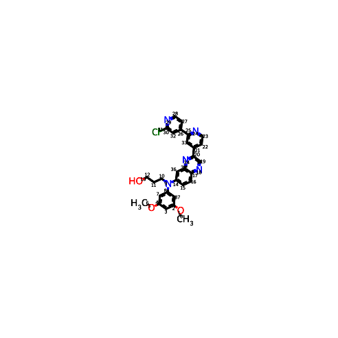 COc1cc(OC)cc(N(CCCO)c2ccc3ncc(-c4ccnc(-c5ccnc(Cl)c5)c4)nc3c2)c1